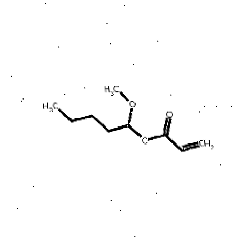 C=CC(=O)OC(CCCC)OC